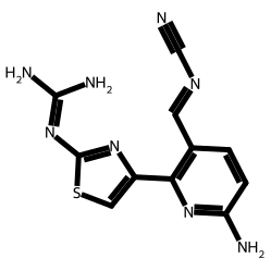 N#CN=Cc1ccc(N)nc1-c1csc(N=C(N)N)n1